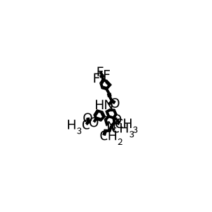 C=CC[N@@+]1(C)CC[C@@]2(c3cccc(OC(C)=O)c3)C[C@H](NC(=O)C#Cc3ccc(C(F)(F)F)cc3)CCC2(OC)C1